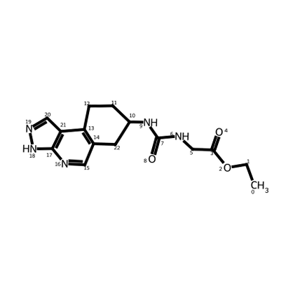 CCOC(=O)CNC(=O)NC1CCc2c(cnc3[nH]ncc23)C1